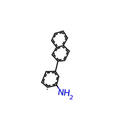 Nc1[c]ccc(-c2ccc3ccccc3c2)c1